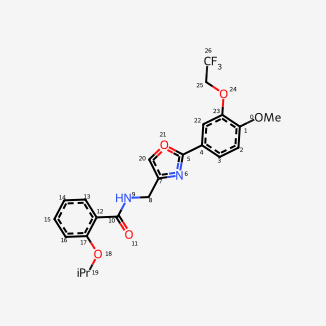 COc1ccc(-c2nc(CNC(=O)c3ccccc3OC(C)C)co2)cc1OCC(F)(F)F